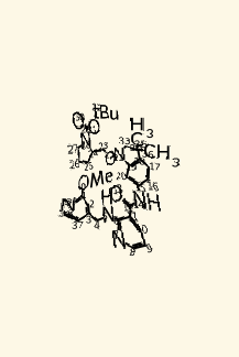 COc1cc(CNc2ncccc2C(=O)Nc2ccc3c(c2)N(OCC2CCCN2C(=O)OC(C)(C)C)CC3(C)C)ccn1